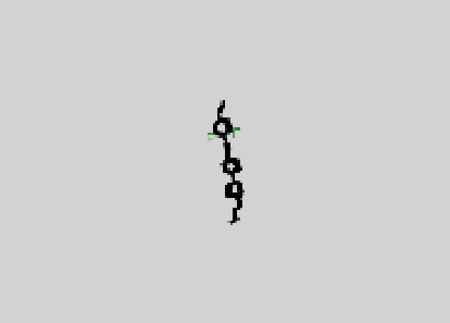 CCCCc1ccc(-c2ccc(C#Cc3c(F)cc(CCC)cc3F)cc2)cc1